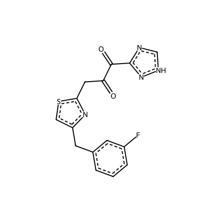 O=C(Cc1nc(Cc2cccc(F)c2)cs1)C(=O)c1nc[nH]n1